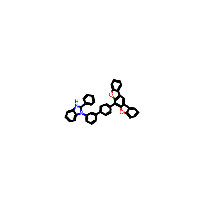 c1ccc(C2Nc3ccccc3N2c2cccc(-c3ccc(-c4c5oc6ccccc6c5cc5c4oc4ccccc45)cc3)c2)cc1